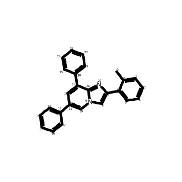 Cc1ccccc1-c1cn2cc(-c3ccccc3)cc(-c3ccccc3)c2n1